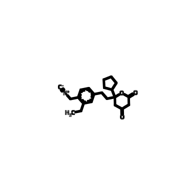 [C-]#[N+]Cc1ccc(CCC2(C3CCCC3)CC(=O)CC(=O)O2)cc1CC